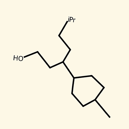 CC(C)CCC(CCO)C1CCC(C)CC1